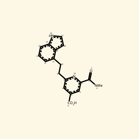 CNC(=O)c1cc(C(=O)O)cc(CCc2cccc3[nH]ccc23)n1